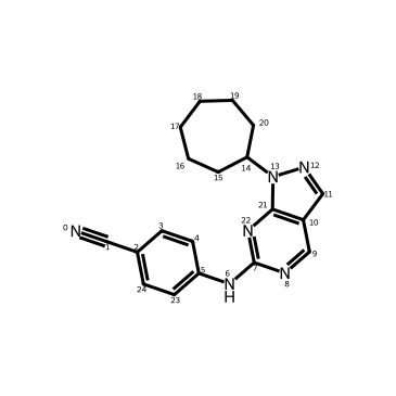 N#Cc1ccc(Nc2ncc3cnn(C4CCCCCC4)c3n2)cc1